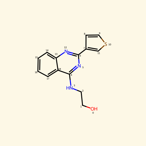 OCCNc1nc(-c2ccsc2)nc2ccccc12